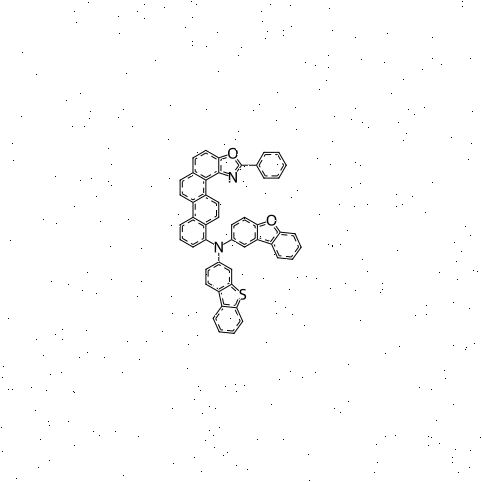 c1ccc(-c2nc3c(ccc4ccc5c6cccc(N(c7ccc8c(c7)sc7ccccc78)c7ccc8oc9ccccc9c8c7)c6ccc5c43)o2)cc1